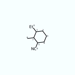 CCC1CCCC(C#N)C1C